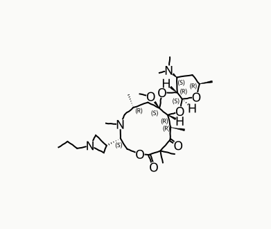 CCCN1CC([C@H]2COC(=O)C(C)(C)C(=O)[C@H](C)[C@H]3O[C@@H]4O[C@H](C)C[C@H](N(C)C)[C@H]4O[C@@]3(OC)C[C@@H](C)CN2C)C1